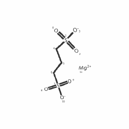 O=S(=O)([O-])CCCS(=O)(=O)[O-].[Mg+2]